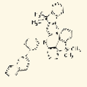 C[Si]1(C)c2ccccc2-c2ccc(N(c3cccc(-c4ccc5ccccc5c4)c3)c3cccc4c3-c3ccccc3[Si]4(C)C)cc21